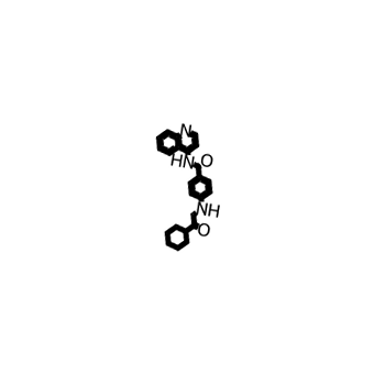 O=C(Nc1ccnc2ccccc12)c1ccc(NCC(=O)C2CCCCC2)cc1